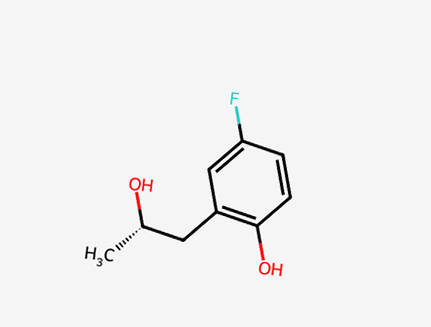 C[C@H](O)Cc1cc(F)ccc1O